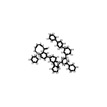 C=C1/C=C\C=C/CN(c2ccccc2)c2ccc(-c3ccc4c(c3)c3ccccc3n4-c3nc(-c4ccccc4)nc(-c4cccc(-c5ccc(-c6ccccc6)cc5)c4)n3)cc21